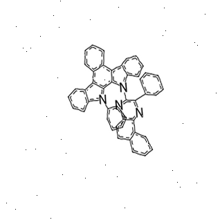 c1ccc(-c2nc3c(ccc4ccccc43)nc2-n2c3ccccc3c3c4ccccc4c4c5ccccc5n(-c5ccccc5)c4c32)cc1